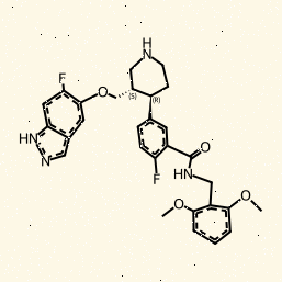 COc1cccc(OC)c1CNC(=O)c1cc([C@@H]2CCNC[C@H]2COc2cc3cn[nH]c3cc2F)ccc1F